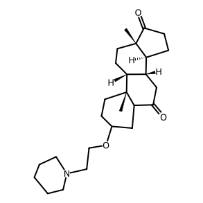 C[C@]12CCC(OCCN3CCCCC3)CC1C(=O)C[C@@H]1[C@H]2CC[C@]2(C)C(=O)CC[C@@H]12